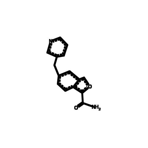 NC(=O)c1occ2cc(Cc3cccnc3)ccc12